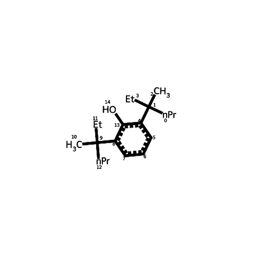 CCCC(C)(CC)c1cccc(C(C)(CC)CCC)c1O